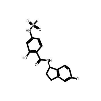 CS(=O)(=O)Nc1ccc(C(=O)N[C@@H]2CCc3cc(Cl)ccc32)c(O)c1